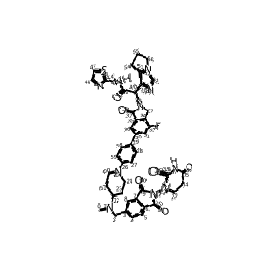 CN(Cc1ccc2c(c1)C(=O)N(N1CCC(=O)NC1=O)C2=O)C1CCN(c2ccc(-c3cc(F)c4c(c3)C(=O)N(C(C(=O)Nc3nccs3)c3ncn5c3CCC5)C4)cc2)CC1